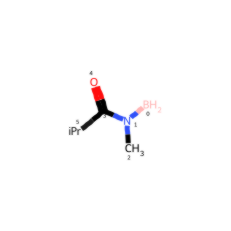 BN(C)C(=O)C(C)C